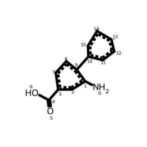 Nc1cc(C(=O)O)ccc1-c1cc[c]cc1